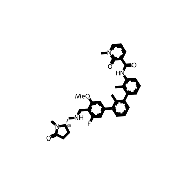 COc1cc(-c2cccc(-c3cccc(NC(=O)c4cccn(C)c4=O)c3C)c2C)cc(F)c1CNC[C@@H]1CCC(=O)N1C